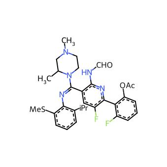 CSc1cccc(C(C)C)c1/N=C(\c1cc(F)c(-c2c(F)cccc2OC(C)=O)nc1NC=O)N1CCN(C)CC1C